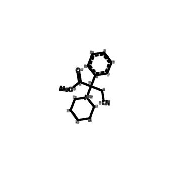 COC(=O)C(CC#N)(c1ccccc1)N1CCCCC1